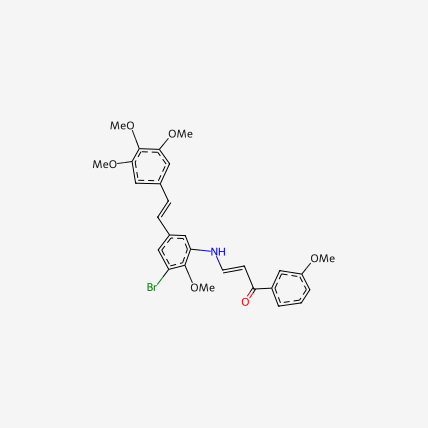 COc1cccc(C(=O)C=CNc2cc(C=Cc3cc(OC)c(OC)c(OC)c3)cc(Br)c2OC)c1